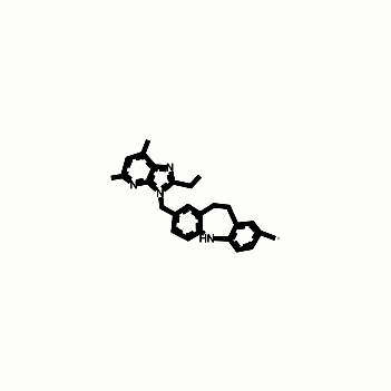 [CH2]c1ccc2c(c1)CCc1cc(Cn3c(CC)nc4c(C)cc(C)nc43)ccc1N2